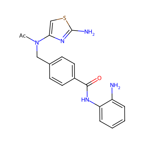 CC(=O)N(Cc1ccc(C(=O)Nc2ccccc2N)cc1)c1csc(N)n1